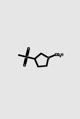 CS(=O)(=O)C1CCN(C(=O)O)C1